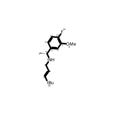 COc1cc([C@@H](C)NC/C=C/C(C)(C)C)ccc1F